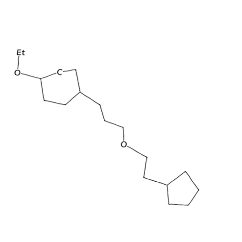 CCOC1CCC(CCCOCCC2CCCC2)CC1